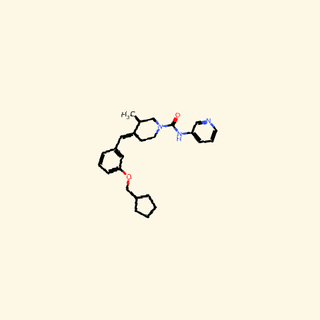 CC1CN(C(=O)Nc2cccnc2)CCC1=Cc1cccc(OCC2CCCC2)c1